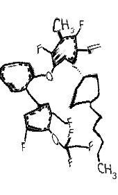 CCCCC[C@H]1CC[C@H](c2c(F)c(F)c(C)c(F)c2Oc2ccccc2-c2cc(F)c(OC(F)(F)F)c(F)c2)CC1